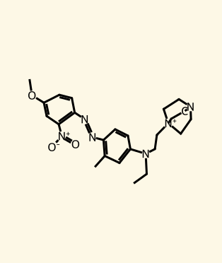 CCN(CC[N+]12CCN(CC1)CC2)c1ccc(N=Nc2ccc(OC)cc2[N+](=O)[O-])c(C)c1